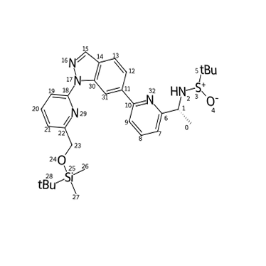 C[C@@H](N[S+]([O-])C(C)(C)C)c1cccc(-c2ccc3cnn(-c4cccc(CO[Si](C)(C)C(C)(C)C)n4)c3c2)n1